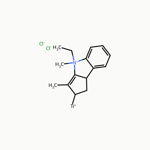 CC[N+]1(C)C2=C(C)[CH]([Ti+])CC2c2ccccc21.[Cl-].[Cl-]